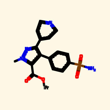 CC(C)OC(=O)c1c(-c2ccc(S(N)(=O)=O)cc2)c(-c2ccncc2)nn1C